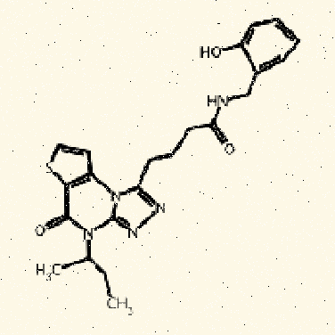 CCC(C)n1c(=O)c2sccc2n2c(CCCC(=O)NCc3ccccc3O)nnc12